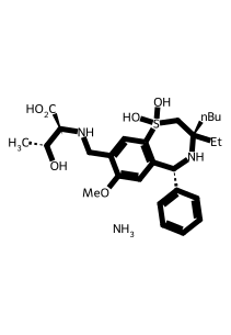 CCCC[C@]1(CC)CS(O)(O)c2cc(CN[C@H](C(=O)O)[C@@H](C)O)c(OC)cc2[C@@H](c2ccccc2)N1.N